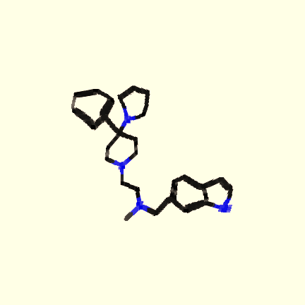 CN(CCN1CCC(c2ccccc2)(N2CCCC2)CC1)Cc1ccc2cc[nH]c2c1